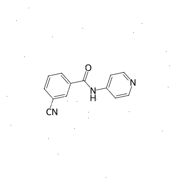 N#Cc1cccc(C(=O)Nc2ccncc2)c1